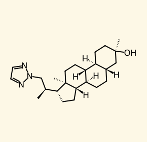 C[C@@H](Cn1nccn1)[C@H]1CC[C@H]2[C@@H]3CC[C@H]4C[C@](C)(O)CC[C@@H]4[C@H]3CC[C@]12C